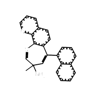 CC1(N)C=Nc2c(ccc3cccnc23)C(c2cccc3ccccc23)=C1